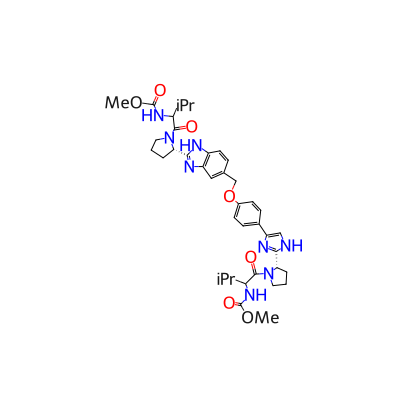 COC(=O)NC(C(=O)N1CCC[C@H]1c1nc(-c2ccc(OCc3ccc4[nH]c([C@@H]5CCCN5C(=O)C(NC(=O)OC)C(C)C)nc4c3)cc2)c[nH]1)C(C)C